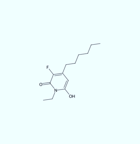 CCCCCCc1cc(O)n(CC)c(=O)c1F